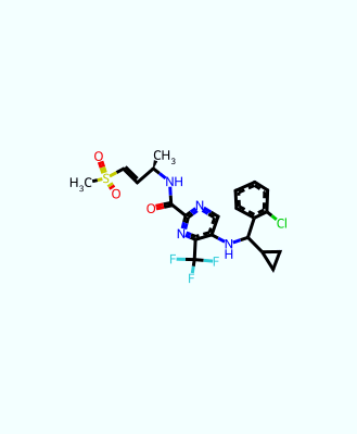 C[C@H](/C=C/S(C)(=O)=O)NC(=O)c1ncc(NC(c2ccccc2Cl)C2CC2)c(C(F)(F)F)n1